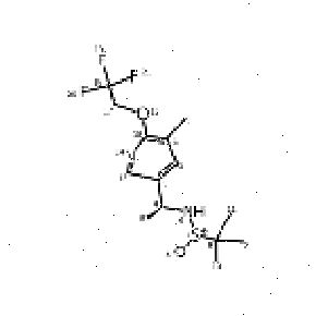 Cc1cc([C@H](C)N[S+]([O-])C(C)(C)C)cnc1OCC(F)(F)F